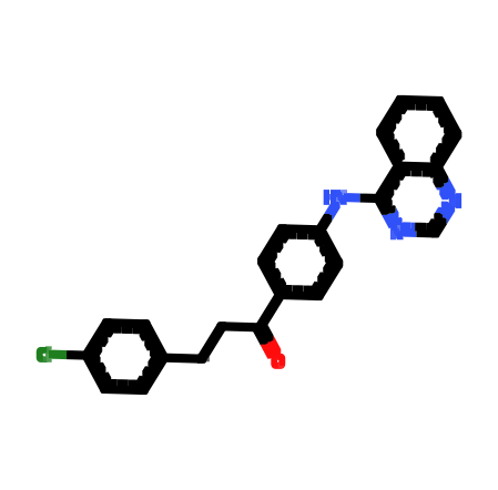 O=C(C[CH]c1ccc(Cl)cc1)c1ccc(Nc2ncnc3ccccc23)cc1